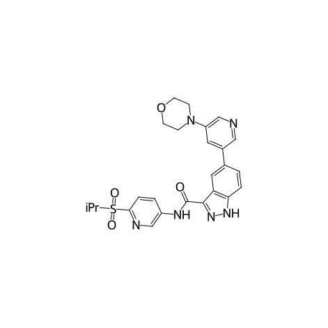 CC(C)S(=O)(=O)c1ccc(NC(=O)c2n[nH]c3ccc(-c4cncc(N5CCOCC5)c4)cc23)cn1